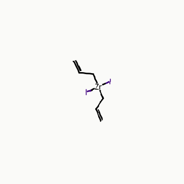 C=C[CH2][Zr]([I])([I])[CH2]C=C